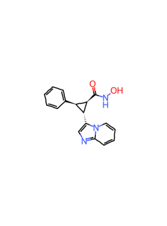 O=C(NO)[C@@H]1[C@H](c2ccccc2)[C@H]1c1cnc2ccccn12